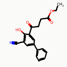 CCOC(=O)CCC(=O)c1cc(-c2ccccc2)cc(C#N)c1O